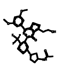 COc1cc(OC)cc(-c2nn(-c3cc(N4CCC(NC(C)=O)C4)ccc3C(F)(F)F)c(=O)c3c2ccn3CCO)c1